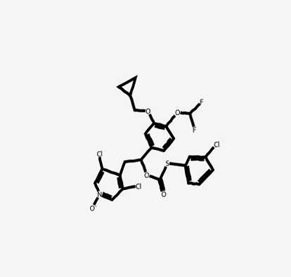 O=C(OC(Cc1c(Cl)c[n+]([O-])cc1Cl)c1ccc(OC(F)F)c(OCC2CC2)c1)Sc1cccc(Cl)c1